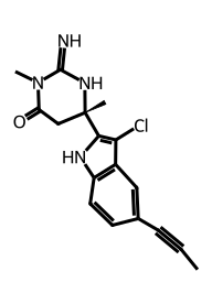 CC#Cc1ccc2[nH]c([C@]3(C)CC(=O)N(C)C(=N)N3)c(Cl)c2c1